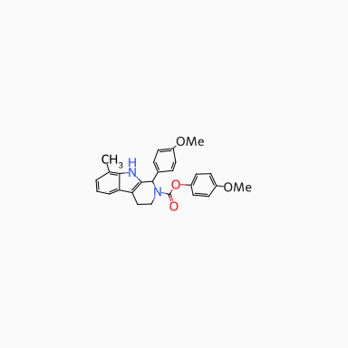 COc1ccc(OC(=O)N2CCc3c([nH]c4c(C)cccc34)C2c2ccc(OC)cc2)cc1